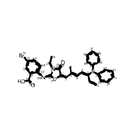 C=C\C(=C/C=C(C)/C=C1/OC(=Nc2ccc(Br)cc2C(=O)O)N(CC)C1=O)N(c1ccccc1)c1ccccc1